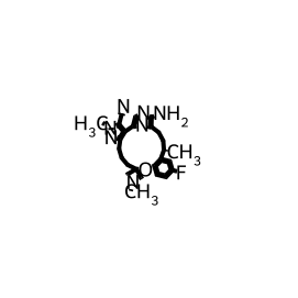 C[C@H]1CCc2nc(cnc2N)-c2c(nn(C)c2C#N)CCCC2(CN(C)C2)Oc2ccc(F)cc21